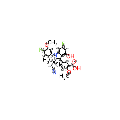 COc1cc(-n2c(C(C)(C)CC#N)c(-c3ccc(OC)c(C(=O)O)c3)c3c(O)cc(F)cc32)ccc1F